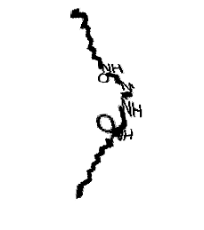 CCCCCCCCCCCCNC(=O)CCNCCN(C)CCC(=O)NCCCCCCCCCCCC